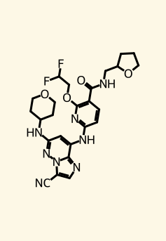 N#Cc1cnc2c(Nc3ccc(C(=O)NCC4CCCO4)c(OCC(F)F)n3)cc(NC3CCOCC3)nn12